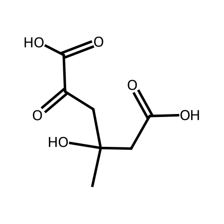 CC(O)(CC(=O)O)CC(=O)C(=O)O